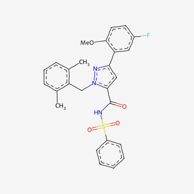 COc1ccc(F)cc1-c1cc(C(=O)NS(=O)(=O)c2ccccc2)n(Cc2c(C)cccc2C)n1